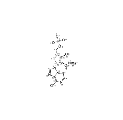 O=P([O-])([O-])OC[C@H]1O[C@@H](n2cnc3c(Cl)ncnc32)[C@H](O)[C@@H]1O.[Na+].[Na+]